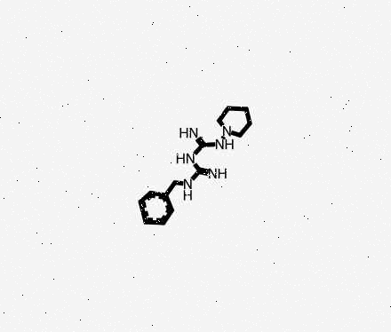 N=C(NCc1ccccc1)NC(=N)NN1CCCCC1